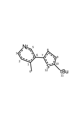 Cc1ccncc1-c1ccc(C(C)(C)C)s1